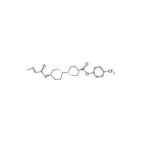 C/C=C/C(=O)O[C@H]1CC[C@H]([C@H]2CC[C@H](C(=O)Oc3ccc(C(F)(F)F)cc3)CC2)CC1